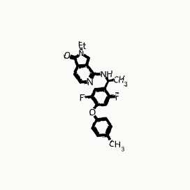 CCN1Cc2c(ccnc2NC(C)c2cc(F)c(Oc3ccc(C)cc3)cc2F)C1=O